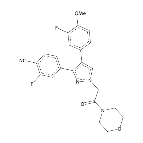 COc1ccc(-c2cn(CC(=O)N3CCOCC3)nc2-c2ccc(C#N)c(F)c2)cc1F